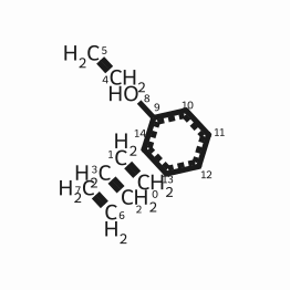 C=C.C=C.C=C.C=C.Oc1ccccc1